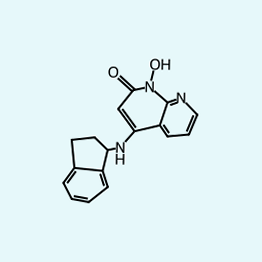 O=c1cc(NC2CCc3ccccc32)c2cccnc2n1O